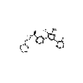 C=C(NCCN1CCCCC1)c1cccc(-c2cc(-c3ccccc3C)nc(N)c2C#N)c1